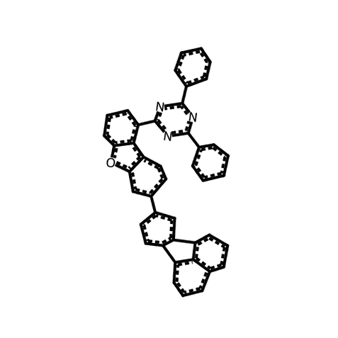 c1ccc(-c2nc(-c3ccccc3)nc(-c3cccc4oc5cc(-c6ccc7c(c6)-c6cccc8cccc-7c68)ccc5c34)n2)cc1